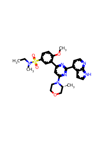 CCN(C)S(=O)(=O)c1ccc(OC)c(-c2cc(N3CCOC[C@H]3C)nc(-c3ccnc4[nH]ccc34)n2)c1